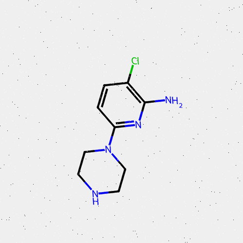 Nc1nc(N2CCNCC2)ccc1Cl